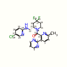 Cc1ccc(-c2ncccn2)c(C(=O)N2CCC(F)(F)C[C@H]2CNc2ccc(Cl)cn2)n1